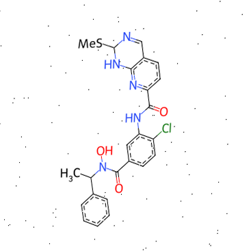 CSC1N=Cc2ccc(C(=O)Nc3cc(C(=O)N(O)C(C)c4ccccc4)ccc3Cl)nc2N1